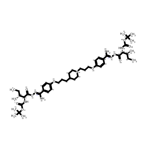 CC[C@@H](C)[C@H](NC(=O)OC(C)(C)C)C(=O)O/N=C(\N)c1ccc(OCCCC2CCN(CCCOc3ccc(/C(N)=N/OC(=O)[C@H](NC(=O)OC(C)(C)C)[C@@H](C)CC)cc3)CC2)cc1